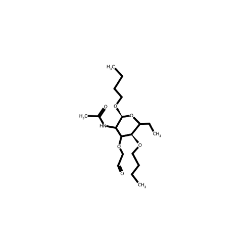 CCCCO[C@H]1OC(CC)[C@@H](OCCCC)C(OCC=O)C1NC(C)=O